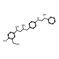 NC(Cc1ccc(NC[C@H](O)c2ccccc2)cc1)CC(O)c1ccc(O)c(CO)c1